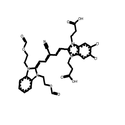 N#CC(=C\C=C1N(CCOC=O)c2ccccc2N1CCOC=O)/C=C/c1n(CCC(=O)O)c2cc(Cl)c(Cl)cc2[n+]1CCC(=O)O